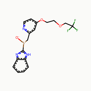 [O-][S+](Cc1cc(OCCOCC(F)(F)F)ccn1)c1nc2ccccc2[nH]1